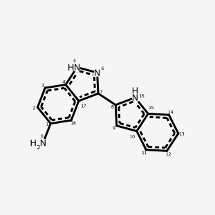 Nc1ccc2[nH]nc(-c3cc4ccccc4[nH]3)c2c1